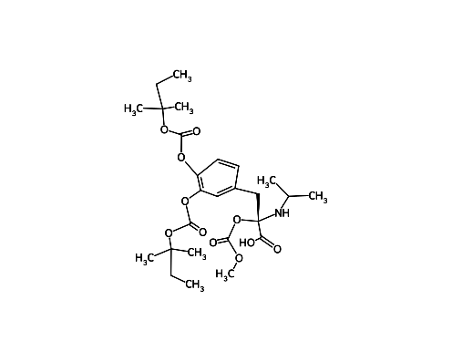 CCC(C)(C)OC(=O)Oc1ccc(C[C@](NC(C)C)(OC(=O)OC)C(=O)O)cc1OC(=O)OC(C)(C)CC